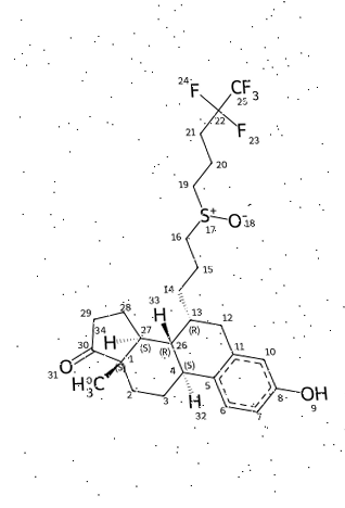 C[C@]12CC[C@@H]3c4ccc(O)cc4C[C@@H](CCC[S+]([O-])CCCC(F)(F)C(F)(F)F)[C@H]3[C@@H]1CCC2=O